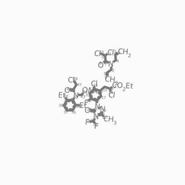 C=CCN(CC=C)C(=O)C(Cl)Cl.CCOC(=O)C(Cl)Cc1cc(-n2nc(C)n(C(F)F)c2=O)c(F)cc1Cl.CCc1cccc(CC)c1N(COC)C(=O)CCl